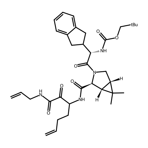 C=CCCC(NC(=O)[C@@H]1[C@@H]2[C@H](CN1C(=O)[C@@H](NC(=O)OCC(C)(C)C)C1Cc3ccccc3C1)C2(C)C)C(=O)C(=O)NCC=C